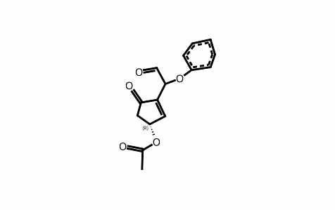 CC(=O)O[C@H]1C=C(C(C=O)Oc2ccccc2)C(=O)C1